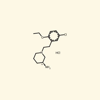 CCOc1ccc(Cl)cc1CCN1CCC[C@H](N)C1.Cl